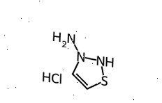 Cl.NN1C=CSN1